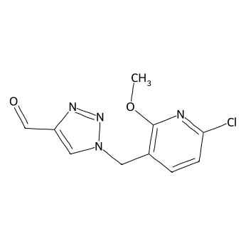 COc1nc(Cl)ccc1Cn1cc(C=O)nn1